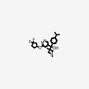 CC(C)c1ccc(C(O)(c2cnnc(OC3CCC(F)(F)C3)c2)C2(C)CN(C)C2)cc1